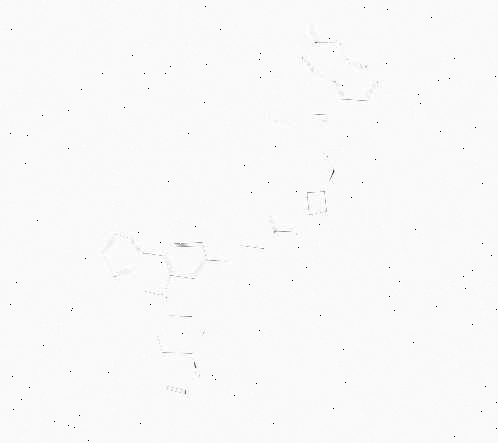 CC(C)(C)OC(=O)N[C@H]1CC[C@H](N(C(=O)O)c2cc(CCCC(=O)N[C@H]3C[C@H](CNC[C@H](O[Si](C)(C)C(C)(C)C)c4ccc(O)c5[nH]c(=O)ccc45)C3)ccc2-c2ccccc2)CC1